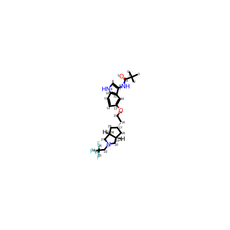 CC(C)(C)C(=O)Nc1c[nH]c2ccc(OCC[C@@H]3C[C@@H]4CN(CC(F)(F)F)C[C@@H]4C3)cc12